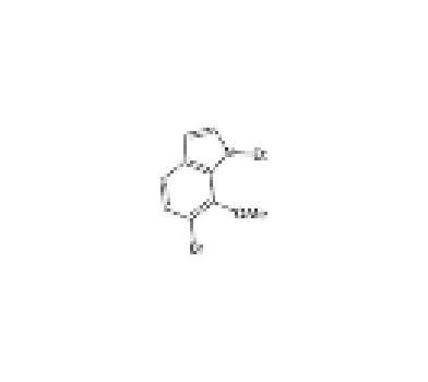 CCn1ccc2ccc(Br)c(OC)c21